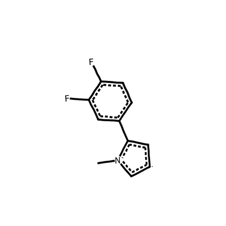 Cn1c[c]cc1-c1ccc(F)c(F)c1